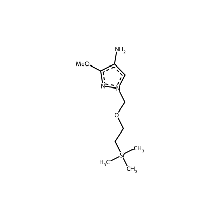 COc1nn(COCC[Si](C)(C)C)cc1N